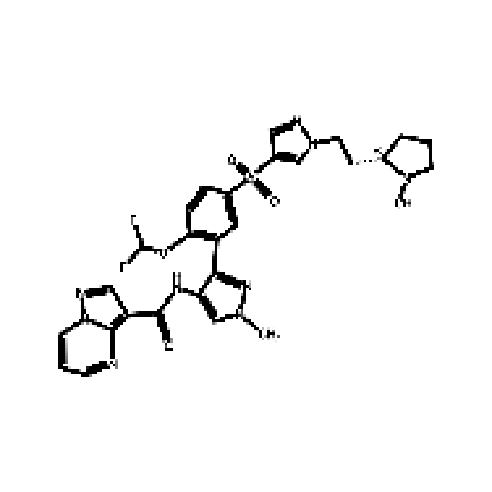 CN1CCC[C@H]1CCn1cc(S(=O)(=O)c2ccc(OC(F)F)c(-c3nn(C)cc3NC(=O)c3cnn4cccnc34)c2)cn1